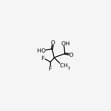 CC(C(=O)O)(C(=O)O)C(F)F